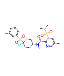 Cc1cccc(S(=O)(=O)[C@]2(F)CC[C@H](N(C)C(=O)c3ncc(C)cc3S(=O)(=O)C(C)C)CC2)c1